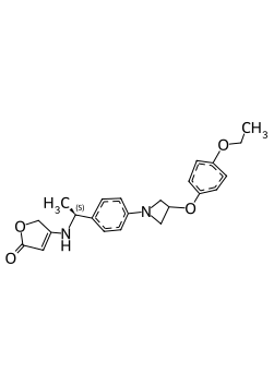 CCOc1ccc(OC2CN(c3ccc([C@H](C)NC4=CC(=O)OC4)cc3)C2)cc1